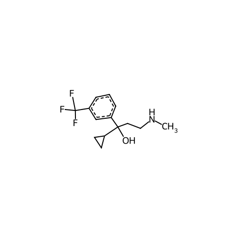 CNCCC(O)(c1cccc(C(F)(F)F)c1)C1CC1